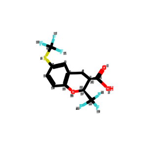 O=C(O)[C@@H]1Cc2cc(SC(F)(F)F)ccc2O[C@@H]1C(F)(F)F